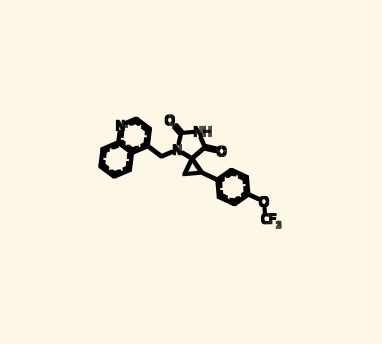 O=C1NC(=O)C2(CC2c2ccc(OC(F)(F)F)cc2)N1Cc1ccnc2ccccc12